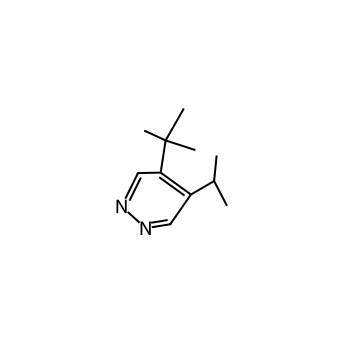 CC(C)c1cnncc1C(C)(C)C